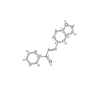 O=C(/C=C/c1ccc2occc2c1)c1ccccc1